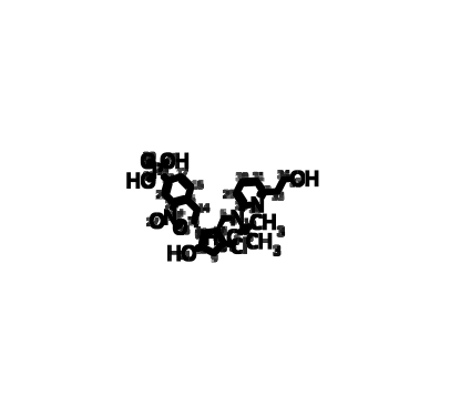 CC(C)(C)N(C[C@H]1C(Cl)CC(O)[C@@H]1CCc1ccc(P(=O)(O)O)cc1[N+](=O)[O-])c1cccc(CCO)n1